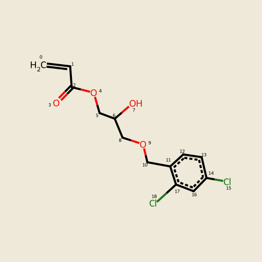 C=CC(=O)OCC(O)COCc1ccc(Cl)cc1Cl